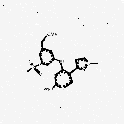 COCc1cc(Nc2cc(NC(C)=O)ncc2-c2ccn(C)n2)cc(S(C)(=O)=O)c1